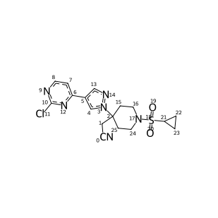 N#CCC1(n2cc(-c3ccnc(Cl)n3)cn2)CCN(S(=O)(=O)C2CC2)CC1